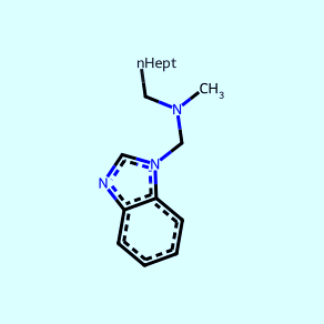 CCCCCCCCN(C)Cn1cnc2ccccc21